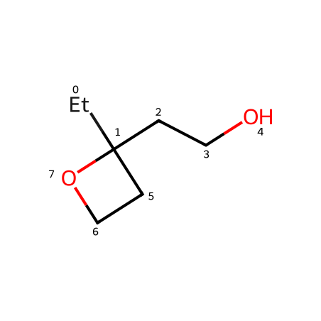 CCC1(CCO)CCO1